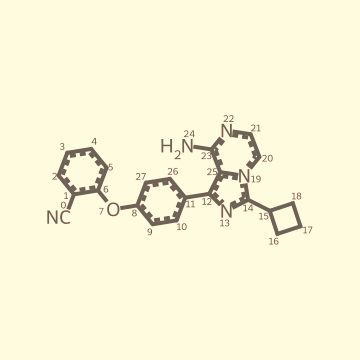 N#Cc1ccccc1Oc1ccc(-c2nc(C3CCC3)n3ccnc(N)c23)cc1